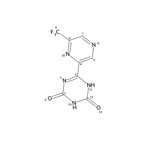 O=c1nc(-c2cncc(C(F)(F)F)n2)[nH]c(=O)[nH]1